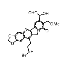 COCc1c(C(O)C=O)cc2n(c1=O)Cc1c-2nc2cc3c(cc2c1CCNC(C)C)OCO3